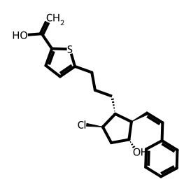 C=C(O)c1ccc(CCC[C@@H]2[C@@H](/C=C\c3ccccc3)[C@H](O)C[C@H]2Cl)s1